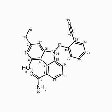 CCc1cc(O)c2c3c(C(N)=O)cccc3n(Cc3ccccc3C#N)c2c1